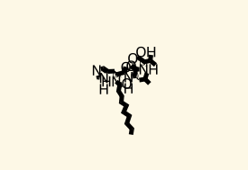 CCCCCCCCCC(=O)N[C@@H](Cc1cnc[nH]1)C(=O)N[C@@H](CC(C)C)C(=O)N[C@H](C(=O)O)C(C)C